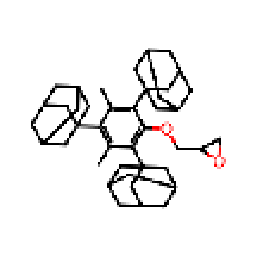 Cc1c(C23CC4CC(CC(C4)C2)C3)c(C)c(C23CC4CC(CC(C4)C2)C3)c(OCC2CO2)c1C12CC3CC(CC(C3)C1)C2